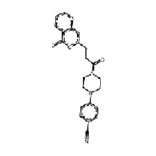 N#Cc1ccc(N2CCN(C(=O)CCc3cc4ncccc4c(=O)o3)CC2)cc1